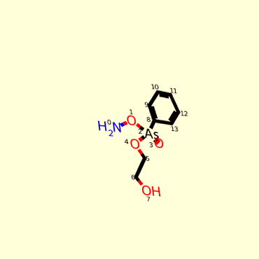 NO[As](=O)(OCCO)c1ccccc1